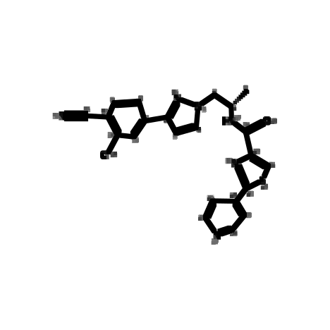 C[C@@H](Cn1ccc(-c2ccc(C#N)c(Cl)c2)n1)NC(=O)c1csc(-c2ccncc2)n1